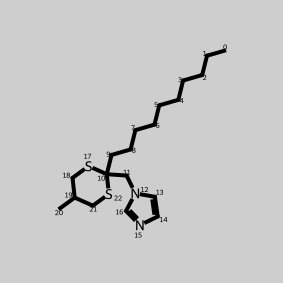 CCCCCCCCCCC1(Cn2ccnc2)SCC(C)CS1